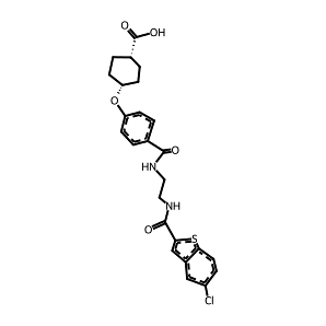 O=C(NCCNC(=O)c1cc2cc(Cl)ccc2s1)c1ccc(O[C@H]2CC[C@@H](C(=O)O)CC2)cc1